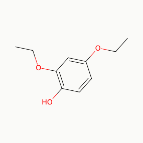 CCOc1ccc(O)c(OCC)c1